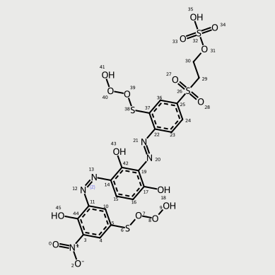 O=[N+]([O-])c1cc(SOOO)cc(/N=N\c2ccc(O)c(N=Nc3ccc(S(=O)(=O)CCOS(=O)(=O)O)cc3SOOO)c2O)c1O